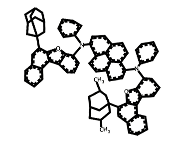 CC1CC2CC(C)CC(c3cc4ccccc4c4c3oc3c(N(c5ccccc5)c5ccc6ccc7c(N(c8ccccc8)c8cccc9c8oc8c(C%10%11CC%12CC(CC(C%12)C%10)C%11)cc%10ccccc%10c89)ccc8ccc5c6c87)cccc34)(C1)C2